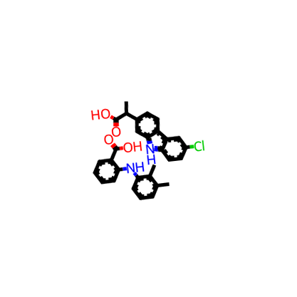 CC(C(=O)O)c1ccc2c(c1)[nH]c1ccc(Cl)cc12.Cc1cccc(Nc2ccccc2C(=O)O)c1C